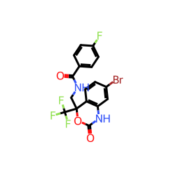 O=C1Nc2cc(Br)ccc2C(CNC(=O)c2ccc(F)cc2)(C(F)(F)F)O1